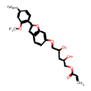 C=CC(=O)OCC(O)CC(O)COc1ccc2cc(-c3ccc(CCCCC)cc3OC(F)(F)F)oc2c1